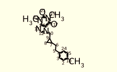 Cc1ccc(CCC2CC2Cn2cnc3c2c(=O)n(C)c(=O)n3C)cc1